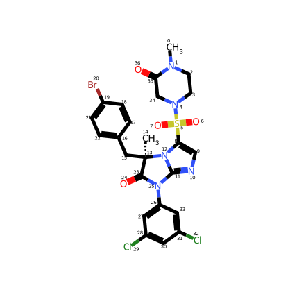 CN1CCN(S(=O)(=O)c2cnc3n2[C@](C)(Cc2ccc(Br)cc2)C(=O)N3c2cc(Cl)cc(Cl)c2)CC1=O